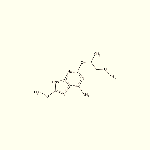 COCC(C)Oc1nc(N)c2nc(OC)[nH]c2n1